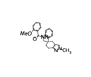 COc1ccccc1C(=O)NCC1(c2ccccc2)CCc2nn(C)cc2C1